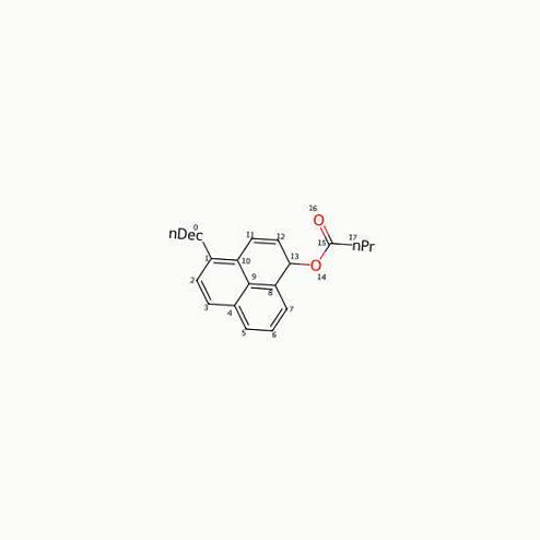 CCCCCCCCCCc1ccc2cccc3c2c1C=CC3OC(=O)CCC